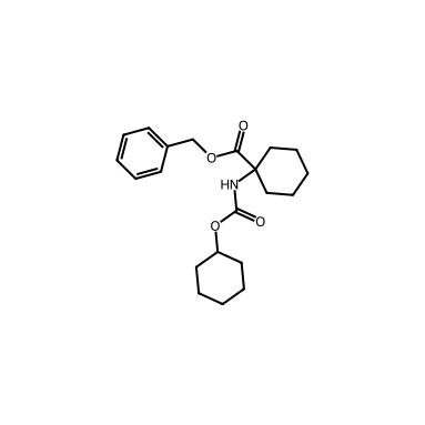 O=C(NC1(C(=O)OCc2ccccc2)CCCCC1)OC1CCCCC1